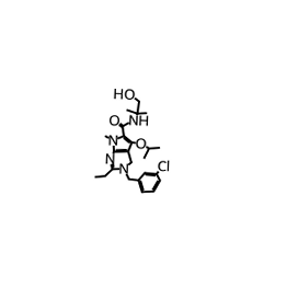 CCC1=Nc2c(c(OC(C)C)c(C(=O)NC(C)(C)CO)n2C)CN1Cc1cccc(Cl)c1